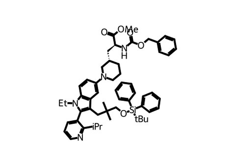 CCn1c(-c2cccnc2C(C)C)c(CC(C)(C)CO[Si](c2ccccc2)(c2ccccc2)C(C)(C)C)c2cc(N3CCC[C@@H](C[C@H](NC(=O)OCc4ccccc4)C(=O)OC)C3)ccc21